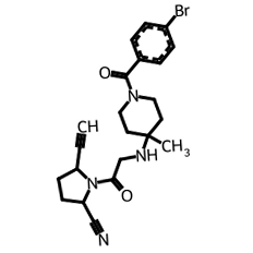 C#CC1CCC(C#N)N1C(=O)CNC1(C)CCN(C(=O)c2ccc(Br)cc2)CC1